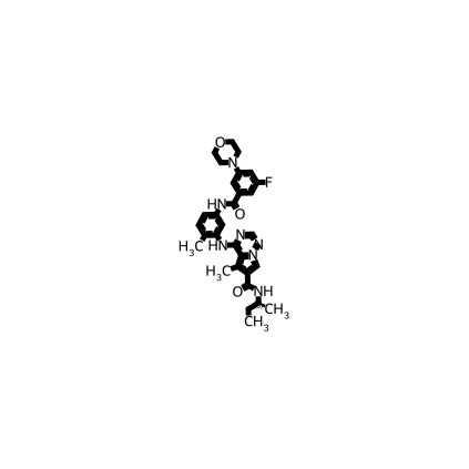 CC[C@H](C)NC(=O)c1cn2ncnc(Nc3cc(NC(=O)c4cc(F)cc(N5CCOCC5)c4)ccc3C)c2c1C